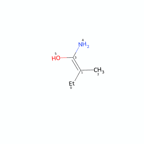 CCC(C)=C(N)O